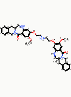 COc1cc2c(cc1OCCNCCOc1cc3c(cc1OC)C(=O)N1Cc4ccccc4CC1CN3)N=C[C@@H]1Cc3ccccc3CN1C2=O